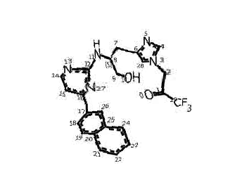 O=C(Cn1cnc(C[C@@H](CO)Nc2nccc(-c3ccc4ccccc4c3)n2)c1)C(F)(F)F